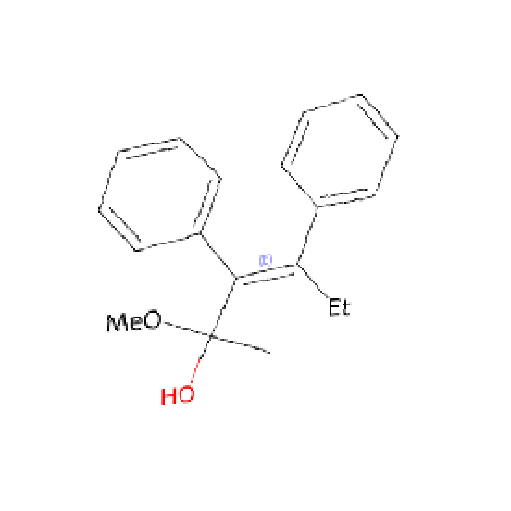 CC/C(=C(/c1ccccc1)C(C)(O)OC)c1ccccc1